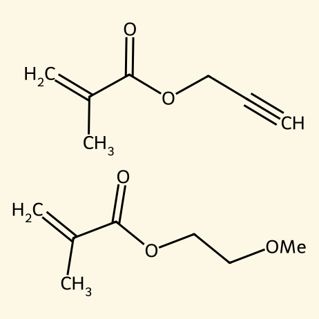 C#CCOC(=O)C(=C)C.C=C(C)C(=O)OCCOC